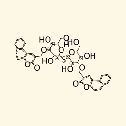 O=c1oc2ccc3ccccc3c2cc1COC1[C@@H](O)C(CO)O[C@@H](S[C@@H]2OC(CO)[C@H](O)[C@H](OCc3cc4c(ccc5ccccc54)oc3=O)C2O)[C@@H]1O